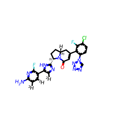 [2H]c1nc([C@@H]2CC[C@@H]3CC(c4c(-n5cnnn5)ccc(Cl)c4F)=CC(=O)N32)[nH]c1-c1c(F)nc(N)c([2H])c1[2H]